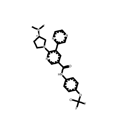 CN(I)[C@@H]1CCN(c2ncc(C(=O)Nc3ccc(OC(F)(F)Cl)cc3)cc2-c2cnccn2)C1